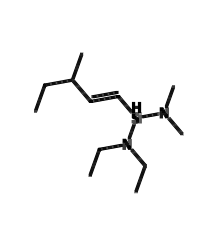 CCC(C)C=C[SiH](N(C)C)N(CC)CC